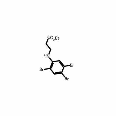 CCOC(=O)CCNc1cc(Br)c(Br)cc1Br